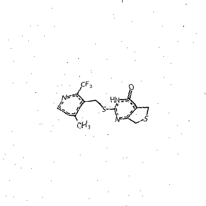 Cc1ccnc(C(F)(F)F)c1CSc1nc2c(c(=O)[nH]1)CSC2